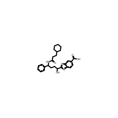 O=C(CCC1CCCCC1)NC(CCC(O)c1nc2ccc(C(=O)O)cc2o1)c1ccccc1